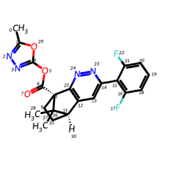 Cc1nnc(OC(=O)[C@]23CC[C@H](c4cc(-c5c(F)cccc5F)nnc42)C3(C)C)o1